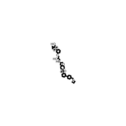 O=S(=O)(c1cccc(-c2ccc(CN3CCC3)cc2)c1)N1CCC2(CC1)C[C@@H](NCC(O)COc1cccc(S(=O)(=O)C3(CO)CC3)c1)CO2